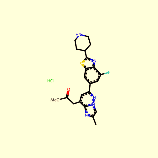 COC(=O)Cc1cc(-c2cc(F)c3nc(C4CCNCC4)sc3c2)nn2cc(C)nc12.Cl